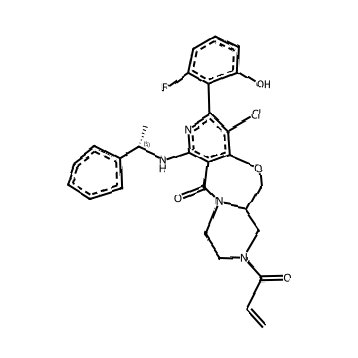 C=CC(=O)N1CCN2C(=O)c3c(N[C@@H](C)c4ccccc4)nc(-c4c(O)cccc4F)c(Cl)c3OCC2C1